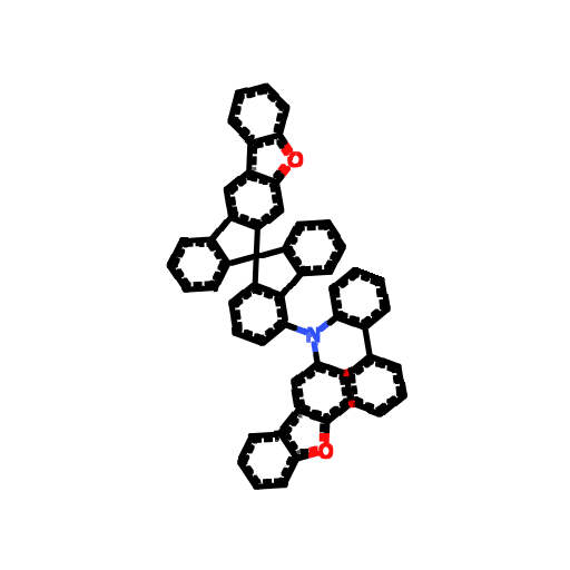 c1ccc(-c2ccccc2N(c2ccc3oc4ccccc4c3c2)c2cccc3c2-c2ccccc2C32c3ccccc3-c3cc4c(cc32)oc2ccccc24)cc1